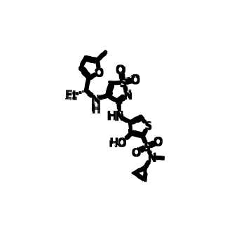 CC[C@@H](NC1=CS(=O)(=O)N=C1Nc1csc(S(=O)(=O)N(C)C2CC2)c1O)c1ccc(C)o1